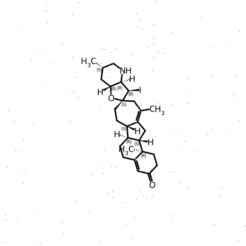 CC1=C2C[C@H]3[C@@H](CCC4=CC(=O)CC[C@@]43C)[C@@H]2CC[C@@]2(C1)O[C@@H]1C[C@H](C)CN[C@H]1[C@H]2I